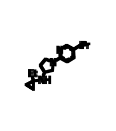 CCC1(NC2CCN(c3ccc(C(C)C)cn3)C2)CC1